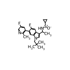 Cc1ncc(F)cc1-c1cc2c(cc1F)c(C(C)N[S+]([O-])C1CC1)cn2CC(C)(C)C